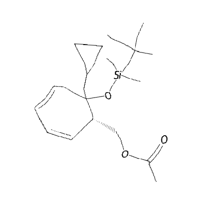 CC(=O)OC[C@@H]1C=CC=CC1(O[Si](C)(C)C(C)(C)C)C1CC1